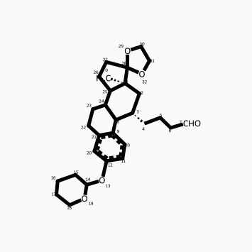 C[C@]12C[C@H](CCCC=O)C3c4ccc(OC5CCCCO5)cc4CCC3C1CCC21OCCO1